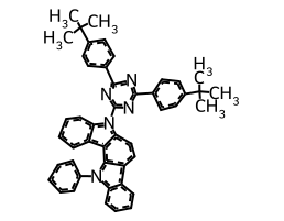 CC(C)(C)c1ccc(-c2nc(-c3ccc(C(C)(C)C)cc3)nc(-n3c4ccccc4c4c3ccc3c5ccccc5n(-c5ccccc5)c34)n2)cc1